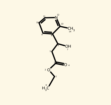 CCOC(=O)CC(O)c1cccnc1C